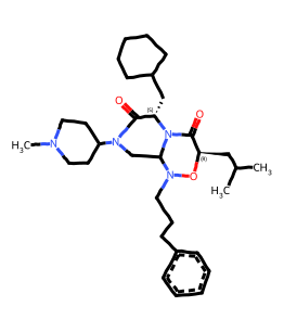 CC(C)C[C@H]1ON(CCCc2ccccc2)C2CN(C3CCN(C)CC3)C(=O)[C@H](CC3CCCCC3)N2C1=O